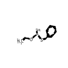 CCOP(S)Sc1ccccc1